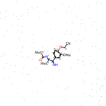 COC(=O)N=C(SC)C(=N)c1ccc(OCC#N)c(OC)c1